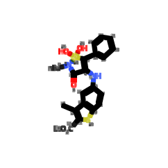 CCCCN1C(=O)C(Nc2ccc3sc(C(=O)OCC)c(C)c3c2)=C(c2ccccc2)S1(O)O